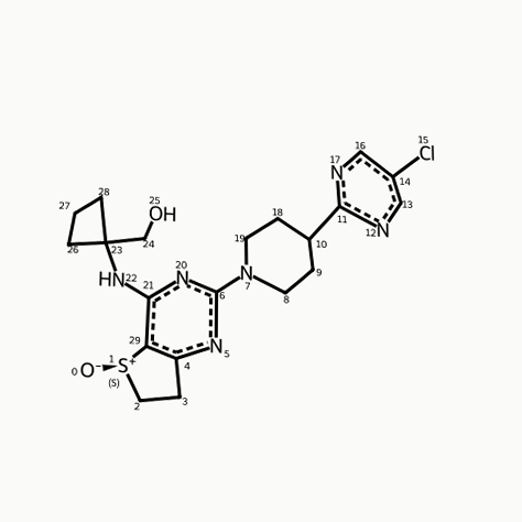 [O-][S@+]1CCc2nc(N3CCC(c4ncc(Cl)cn4)CC3)nc(NC3(CO)CCC3)c21